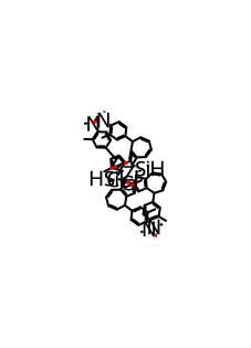 CC1=CC2=C(C=CC=CC2c2ccc(N(C)C)c(C)c2)[C]12[SiH](C)[C]1(C(C)=CC3=C1C=CC=CC3c1ccc(N(C)C)c(C)c1)[Zr]21([Cl])([Cl])[C]2(C(C)=CC3=C2C=CC=CC3c2ccc(N(C)C)c(C)c2)[SiH](C)[C]12C(C)=CC1=C2C=CC=CC1c1ccc(N(C)C)c(C)c1